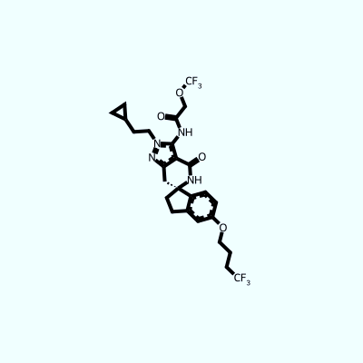 O=C(COC(F)(F)F)Nc1c2c(nn1CCC1CC1)C[C@]1(CCc3cc(OCCCC(F)(F)F)ccc31)NC2=O